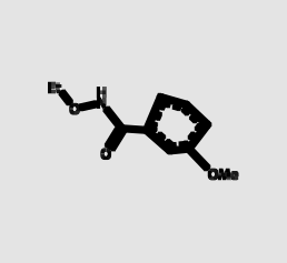 CCONC(=O)c1cccc(OC)c1